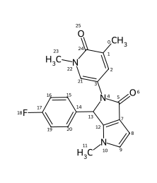 Cc1cc(N2C(=O)c3ccn(C)c3C2c2ccc(F)cc2)cn(C)c1=O